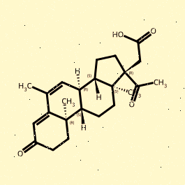 CC(=O)[C@@]1(CC(=O)O)CC[C@H]2[C@@H]3C=C(C)C4=CC(=O)CC[C@]4(C)[C@H]3CC[C@@]21C